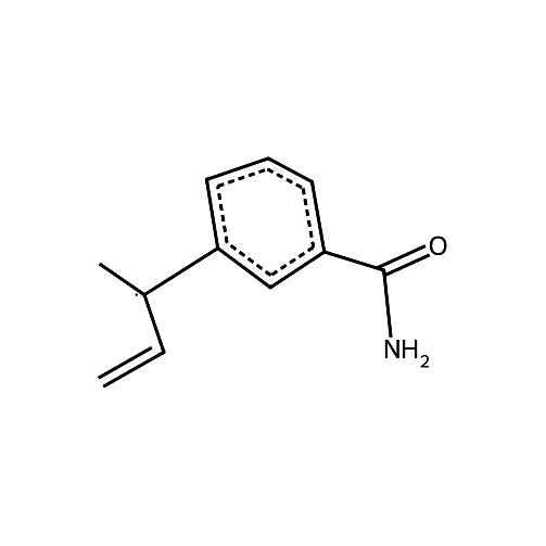 C=C[C](C)c1cccc(C(N)=O)c1